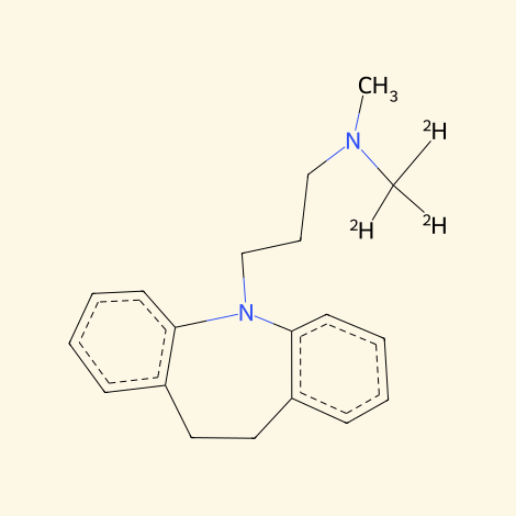 [2H]C([2H])([2H])N(C)CCCN1c2ccccc2CCc2ccccc21